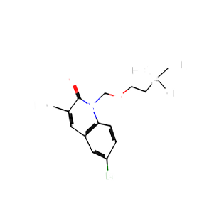 Cc1cc2cc(Br)ccc2n(COCC[Si](C)(C)C)c1=O